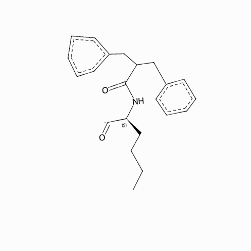 CCCC[C@@H]([C]=O)NC(=O)C(Cc1ccccc1)Cc1ccccc1